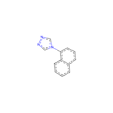 c1ccc2c(-n3cnnc3)cccc2c1